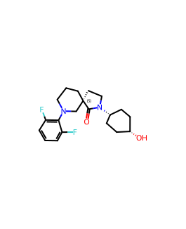 O=C1N([C@H]2CC[C@@H](O)CC2)CC[C@]12CCCN(c1c(F)cccc1F)C2